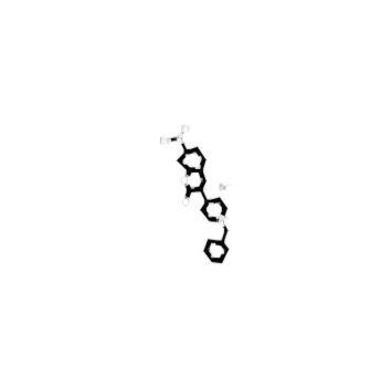 CCN(CC)c1ccc2cc(-c3cc[n+](Cc4ccccc4)cc3)c(=O)oc2c1.[Br-]